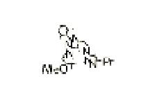 CO[C@@H]1CCN(c2nc(-c3c(C)cccc3C)nc3c2CN(c2cc(C(C)C)nn2C)CC3)CC1(C)C